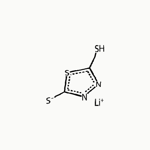 [Li+].[S-]c1nnc(S)s1